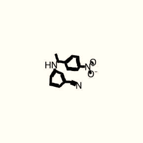 CC(Nc1cccc(C#N)c1)c1ccc([N+](=O)[O-])cc1